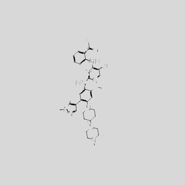 COc1cc(N2CCC(N3CCN(C)CC3)CC2)c(-c2cnn(C)c2)cc1Nc1ncc(Br)c(Nc2ccccc2C(C)=O)n1